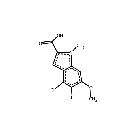 COc1cc2c(cc(C(=O)O)n2C)c(Cl)c1F